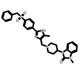 Cc1[nH]c(-c2ccc(S(=O)(=O)Cc3ccccc3)cc2)nc1CN1CCC(n2c(=O)n(C)c3ccccc32)CC1